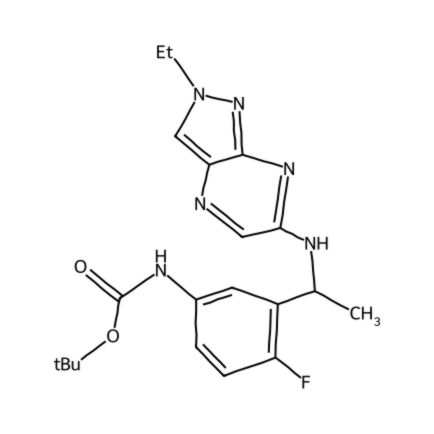 CCn1cc2ncc(NC(C)c3cc(NC(=O)OC(C)(C)C)ccc3F)nc2n1